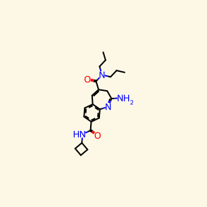 CCCN(CCC)C(=O)C1=Cc2ccc(C(=O)NC3CCC3)cc2N=C(N)C1